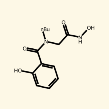 CCCCN(CC(=O)NO)C(=O)c1ccccc1O